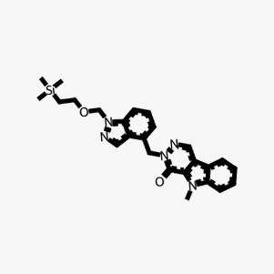 Cn1c2ccccc2c2cnn(Cc3cccc4c3cnn4COCC[Si](C)(C)C)c(=O)c21